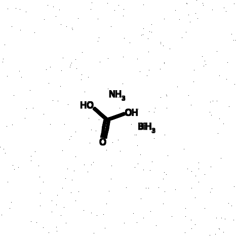 N.O=C(O)O.[BiH3]